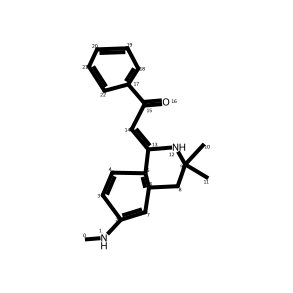 CNc1ccc2c(c1)CC(C)(C)NC2=CC(=O)c1ccccc1